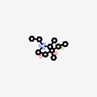 c1ccc(-c2cccc(-c3nc(-c4cccc(-c5ccccc5)c4)nc(-c4cccc5oc6ccc(-c7ccc(-c8ccc9c(c8)sc8ccccc89)c8oc9ccccc9c78)cc6c45)n3)c2)cc1